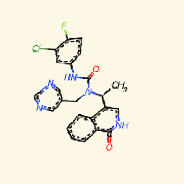 C[C@@H](c1c[nH]c(=O)c2ccccc12)N(Cc1cncnc1)C(=O)Nc1ccc(F)c(Cl)c1